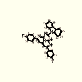 Fc1ccc(C2=CC3=CC(c4ccc(F)cc4)=NC4=NC(n5c6ccccc6c6ccccc65)=NC(=N2)N34)cc1